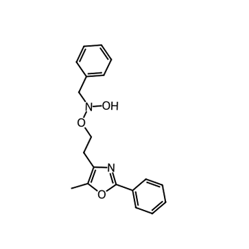 Cc1oc(-c2ccccc2)nc1CCON(O)Cc1ccccc1